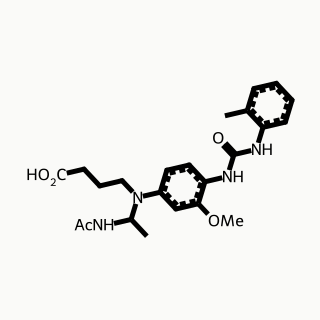 COc1cc(N(CCCC(=O)O)C(C)NC(C)=O)ccc1NC(=O)Nc1ccccc1C